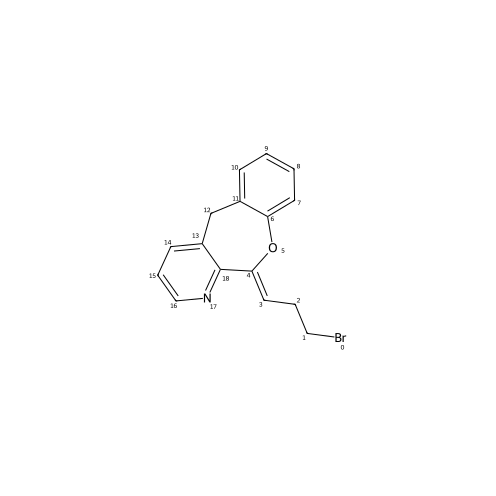 BrCCC=C1Oc2ccccc2Cc2cccnc21